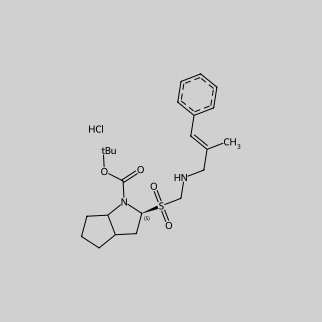 CC(=Cc1ccccc1)CNCS(=O)(=O)[C@H]1CC2CCCC2N1C(=O)OC(C)(C)C.Cl